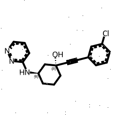 O[C@]1(C#Cc2cccc(Cl)c2)CCC[C@@H](Nc2cccnn2)C1